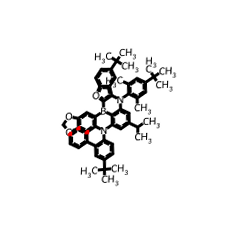 Cc1cc(C(C)(C)C)cc(C)c1N1c2cc(C(C)C)cc3c2B(c2cc4c(cc2N3c2ccc(C(C)(C)C)cc2-c2ccccc2)OCO4)c2oc3ccc(C(C)(C)C)cc3c21